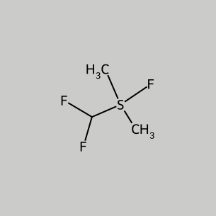 CS(C)(F)C(F)F